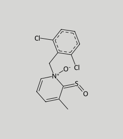 CC1=CC=C[N+]([O-])(Cc2c(Cl)cccc2Cl)C1=S=O